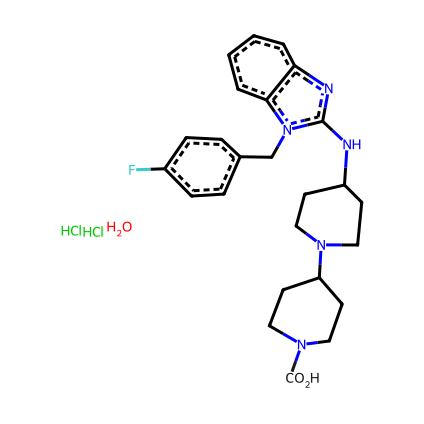 Cl.Cl.O.O=C(O)N1CCC(N2CCC(Nc3nc4ccccc4n3Cc3ccc(F)cc3)CC2)CC1